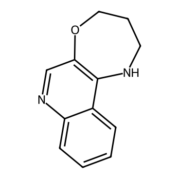 c1ccc2c3c(cnc2c1)OCCCN3